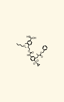 CCCCOC[C@@H](COC(=O)Nc1ccc(S(=O)(=O)C2CC2)c(CN(C)C(=O)OCc2ccccc2)c1)c1ccc(B(O)O)cc1C